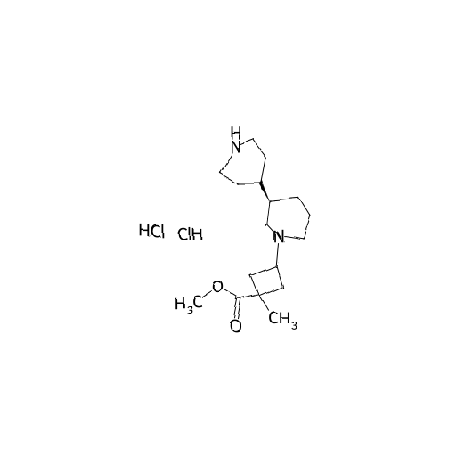 COC(=O)C1(C)CC(N2CCC[C@H](C3CCNCC3)C2)C1.Cl.Cl